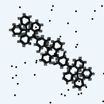 Cc1cc(N2c3ccccc3C(c3ccccc3)(c3ccccc3)c3ccccc32)cc(C)c1B1c2ccccc2B(c2c(C)cc(N3c4ccccc4C(c4ccccc4)(c4ccccc4)c4ccccc43)cc2C)c2ccccc21